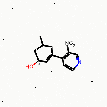 CC1CC(c2ccncc2[N+](=O)[O-])=C[C@@H](O)C1